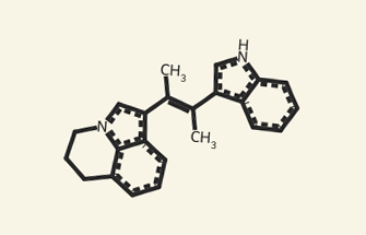 CC(=C(C)c1cn2c3c(cccc13)CCC2)c1c[nH]c2ccccc12